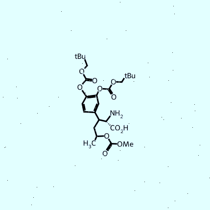 COC(=O)OC(C)CC(c1ccc(OC(=O)OCC(C)(C)C)c(OC(=O)OCC(C)(C)C)c1)[C@H](N)C(=O)O